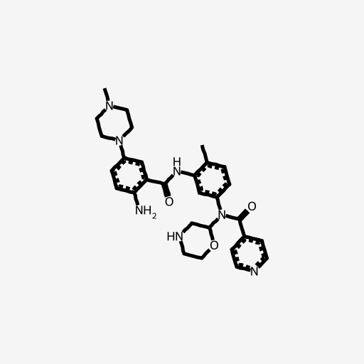 Cc1ccc(N(C(=O)c2ccncc2)C2CNCCO2)cc1NC(=O)c1cc(N2CCN(C)CC2)ccc1N